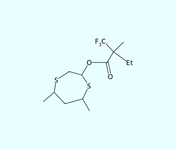 CCC(C)(C(=O)OC1CSC(C)CC(C)S1)C(F)(F)F